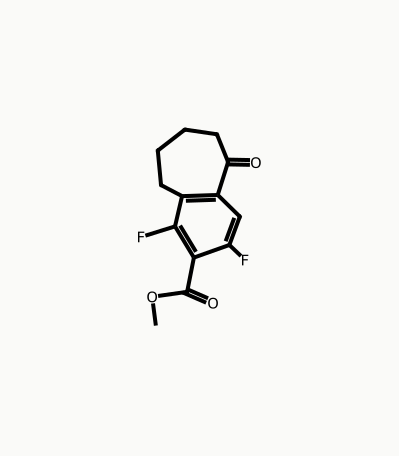 COC(=O)c1c(F)cc2c(c1F)CCCCC2=O